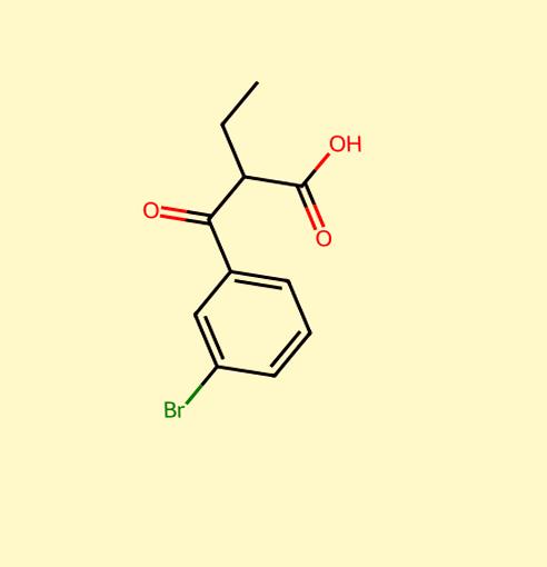 CCC(C(=O)O)C(=O)c1cccc(Br)c1